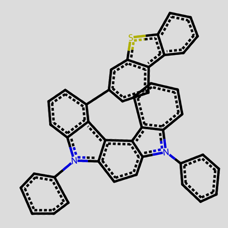 c1ccc(-n2c3ccccc3c3c4c5c(-c6ccc7c(c6)sc6ccccc67)cccc5n(-c5ccccc5)c4ccc32)cc1